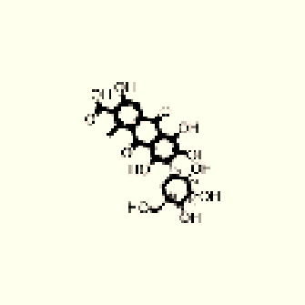 Cc1c(C(=O)O)c(O)cc2c1C(=O)c1c(O)c([C@H]3C[C@H](CO)[C@@H](O)[C@H](O)[C@H]3O)c(O)c(O)c1C2=O